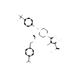 CC(C)c1ccc(CNC(=O)[C@H]2CN(c3n[nH]c(C(=O)O)c3Cl)CCN2S(=O)(=O)c2ccc(C(F)(F)F)cc2)cc1